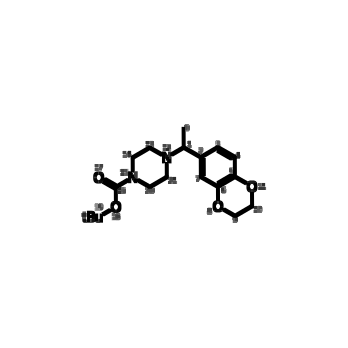 CC(c1ccc2c(c1)OCCO2)N1CCN(C(=O)OC(C)(C)C)CC1